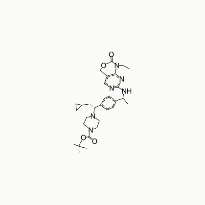 CCN1C(=O)OCc2cnc(NC(C)c3ccc([C@@H](CC4CC4)N4CCN(C(=O)OC(C)(C)C)CC4)cc3)nc21